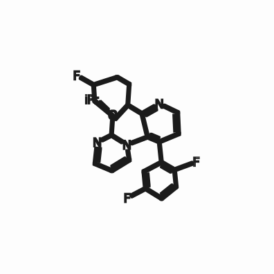 CC(C)OC1N=CC=CN1c1c(-c2cc(F)ccc2F)ccnc1C1CCC(F)CC1